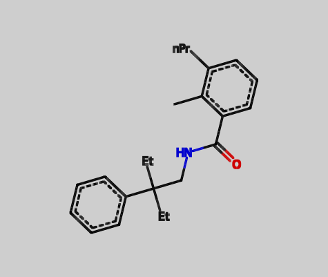 CCCc1cccc(C(=O)NCC(CC)(CC)c2ccccc2)c1C